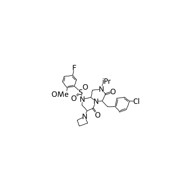 COc1ccc(F)cc1S(=O)(=O)N1CC(N2CCC2)C(=O)N2C(Cc3ccc(Cl)cc3)C(=O)N(C(C)C)CC21